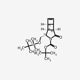 CC(C)(C)OC(=O)N1C(=O)[C@@H]2C3C=C[C@@H]3[C@@H]2[C@H]1CO[Si](C)(C)C(C)(C)C